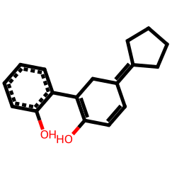 OC1=C(c2ccccc2O)CC(=C2CCCC2)C=C1